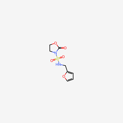 O=C1OCCN1S(=O)(=O)NCc1ccco1